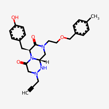 C#CCN1CC(=O)N2[C@H](CN(CCOCc3ccc(C)cc3)C(=O)[C@@H]2Cc2ccc(O)cc2)N1